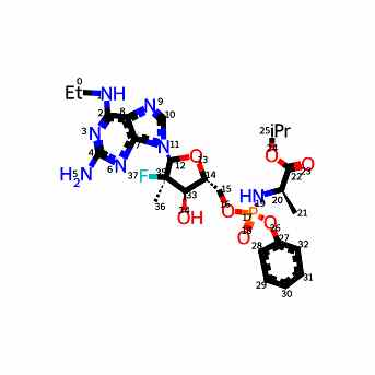 CCNc1nc(N)nc2c1ncn2[C@@H]1O[C@H](CO[P@@](=O)(N[C@H](C)C(=O)OC(C)C)Oc2ccccc2)[C@@H](O)[C@@]1(C)F